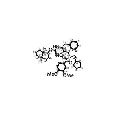 COc1ccc(S(=O)(=O)N(C[C@@H](O)[C@H](Cc2ccccc2)NC(=O)OC2CO[C@H]3OCC[C@@H]23)OC2CCCC2)cc1OC